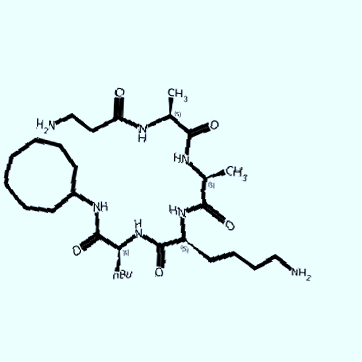 CCCC[C@H](NC(=O)[C@H](CCCCN)NC(=O)[C@H](C)NC(=O)[C@H](C)NC(=O)CCN)C(=O)NC1CCCCCCC1